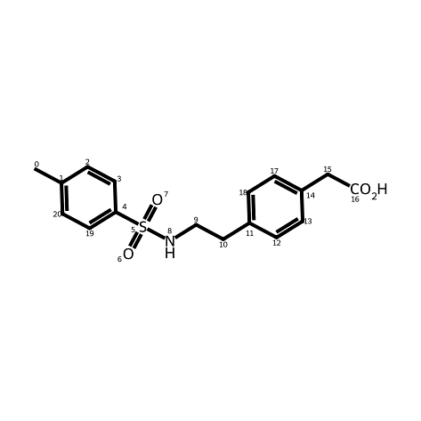 Cc1ccc(S(=O)(=O)NCCc2ccc(CC(=O)O)cc2)cc1